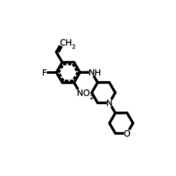 C=Cc1cc(NC2CCN(C3CCOCC3)CC2)c([N+](=O)[O-])cc1F